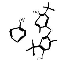 Cc1cc(O)c(C(C)(C)C)cc1Sc1cc(C(C)(C)C)c(O)cc1C.Oc1ccccc1